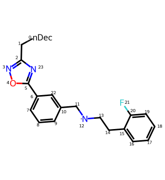 CCCCCCCCCCCc1noc(-c2cccc(C[N]CCc3ccccc3F)c2)n1